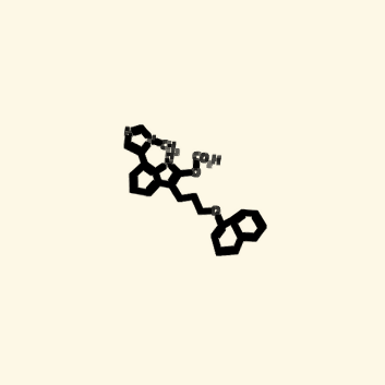 Cn1cncc1-c1cccc2c(CCCOc3cccc4ccccc34)c(OC(=O)O)[nH]c12